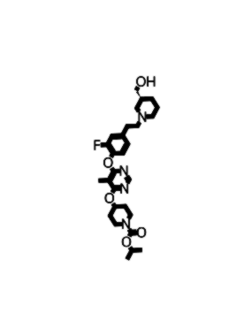 Cc1c(Oc2ccc(CCN3CCC[C@@H](CO)C3)cc2F)ncnc1OC1CCN(C(=O)OC(C)C)CC1